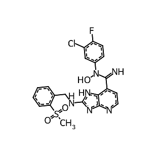 CS(=O)(=O)c1ccccc1CNc1nc2nccc(C(=N)N(O)c3ccc(F)c(Cl)c3)c2[nH]1